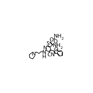 N#Cc1c(NCCCN2CCCCC2)nc2sc(OC(N)=O)c(N)c2c1-c1cc2ccccc2o1